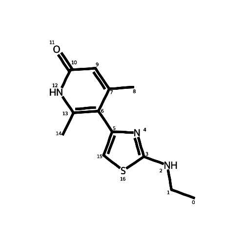 CCNc1nc(-c2c(C)cc(=O)[nH]c2C)cs1